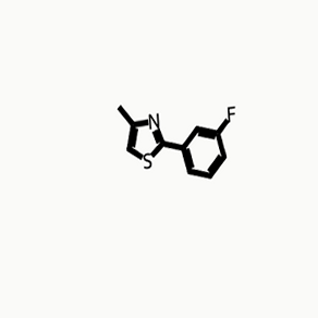 Cc1csc(-c2cccc(F)c2)n1